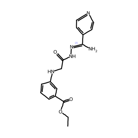 CCOC(=O)c1cccc(NCC(=O)N/N=C(\N)c2ccncc2)c1